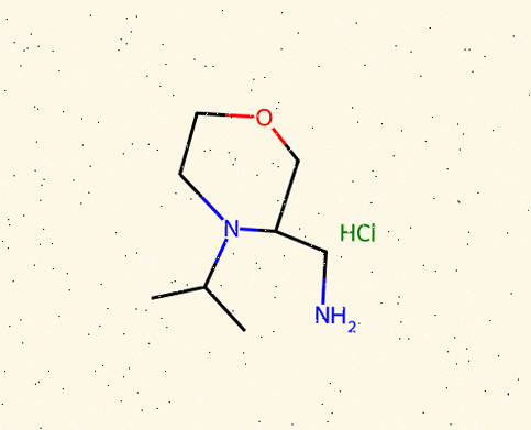 CC(C)N1CCOCC1CN.Cl